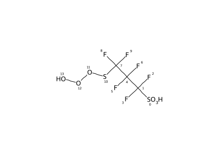 O=S(=O)(O)C(F)(F)C(F)(F)C(F)(F)SOOO